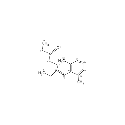 CCC(=O)CCC(CC)=Nc1c(C)cccc1C